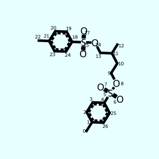 Cc1ccc(S(=O)(=O)OCCC(C)COS(=O)(=O)c2ccc(C)cc2)cc1